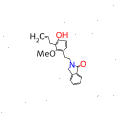 C=CCc1c(O)ccc(CCN2Cc3ccccc3C2=O)c1OC